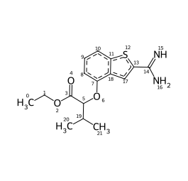 CCOC(=O)C(Oc1cccc2sc(C(=N)N)cc12)C(C)C